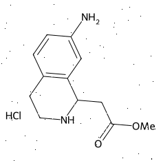 COC(=O)CC1NCCc2ccc(N)cc21.Cl